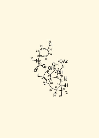 CC(=O)OCC1=C[C@@H]2C(O)C3(C=C(C)[C@H](OC(=O)N(C)c4ccc(Cl)cc4)[C@@]3(O)[C@@H]1O)[C@H](C)C[C@@H]1[C@H]2C1(C)C